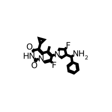 Cc1c(N2CC(F)C(C(N)c3ccccc3)C2)c(F)cn2c(=O)[nH]c(=O)c(C3CC3)c12